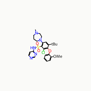 COc1ccccc1Oc1c(C(C)(C)C)cc(N2CCCN(C)CC2)c(S(=O)(=O)Nc2ccncn2)c1Cl